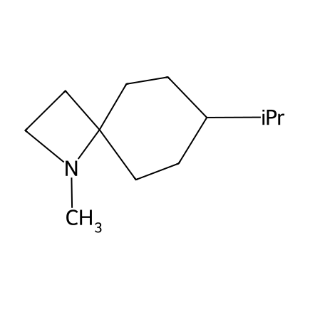 CC(C)C1CCC2(CC1)CCN2C